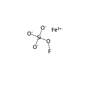 [Fe+3].[O-][Si]([O-])([O-])OF